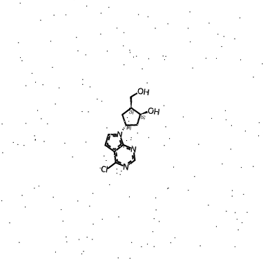 OC[C@@H]1C[C@@H](n2ccc3c(Cl)ncnc32)C[C@@H]1O